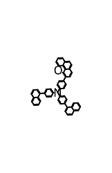 c1ccc2c(-c3ccc(N(c4ccc(-c5cccc6ccccc56)cc4)c4ccc(-c5ccc6ccc7cccc8oc5c6c78)cc4)cc3)cccc2c1